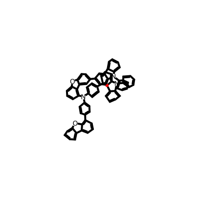 c1ccc(-n2c3ccccc3c3cc(-c4ccc5oc6cccc(N(c7ccc(-c8cccc9c8oc8ccccc89)cc7)c7ccc(-c8cccc9c8c8ccccc8n9-c8ccccc8)cc7)c6c5c4)ccc32)cc1